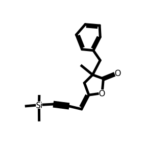 CC1(Cc2ccccc2)CC(=CC#C[Si](C)(C)C)OC1=O